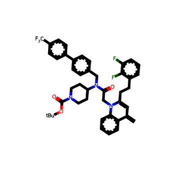 C=C1C=C(CCc2cccc(F)c2F)N(CC(=O)N(Cc2ccc(-c3ccc(C(F)(F)F)cc3)cc2)C2CCN(C(=O)OC(C)(C)C)CC2)c2ccccc21